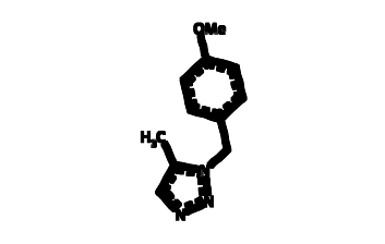 COc1ccc(Cn2nncc2C)cc1